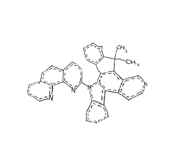 CC1(C)c2ccccc2-c2c1c1cnccc1c1c3ccccc3n(-c3ccc4ccc5cccnc5c4n3)c21